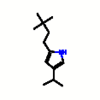 CC(C)c1c[nH]c(CCC(C)(C)C)c1